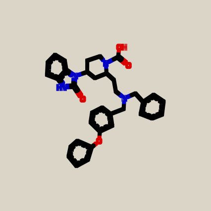 O=C(O)N1CCC(n2c(=O)[nH]c3ccccc32)CC1CCN(Cc1ccccc1)Cc1cccc(Oc2ccccc2)c1